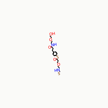 O=C(CCc1ccc(SC(=O)CCOCCNC=S)cc1)NCCOCCO